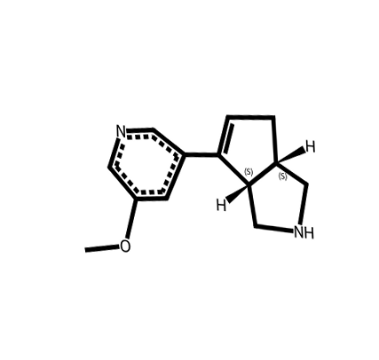 COc1cncc(C2=CC[C@@H]3CNC[C@H]23)c1